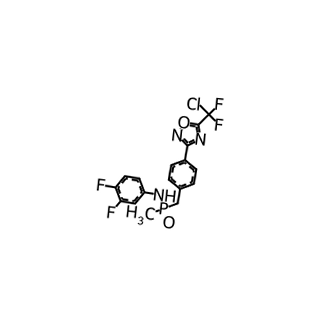 CP(=O)(Cc1ccc(-c2noc(C(F)(F)Cl)n2)cc1)Nc1ccc(F)c(F)c1